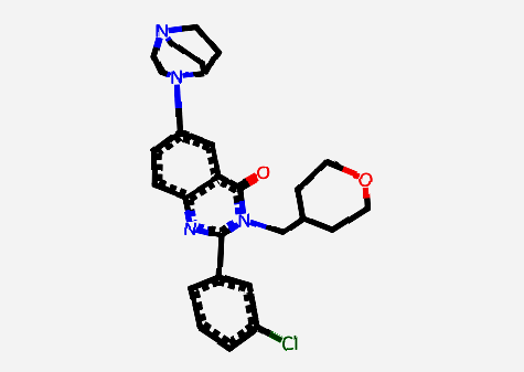 O=c1c2cc(N3CCN4CCC3CC4)ccc2nc(-c2cccc(Cl)c2)n1CC1CCOCC1